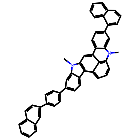 CN1c2cc(-c3cccc4ccccc34)ccc2-c2cc3c(c4cccc1c24)c1ccc(-c2ccc(-c4ccc5ccccc5c4)cc2)cc1n3C